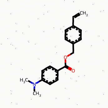 C=Cc1ccc(COC(=O)c2ccc(N(C)C)cc2)cc1